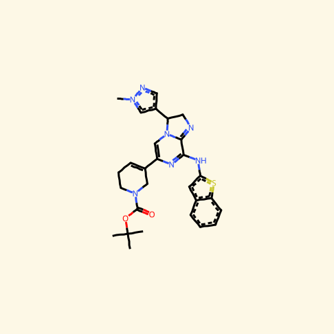 Cn1cc(C2CN=C3C(Nc4cc5ccccc5s4)=NC(C4=CCCN(C(=O)OC(C)(C)C)C4)=CN32)cn1